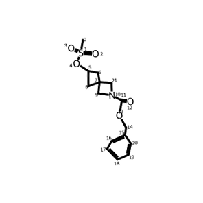 CS(=O)(=O)OC1CC2(C1)CN(C(=O)OCc1ccccc1)C2